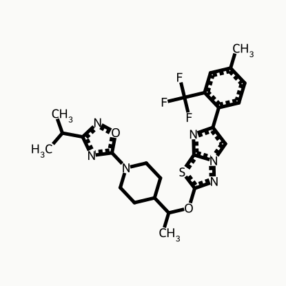 Cc1ccc(-c2cn3nc(OC(C)C4CCN(c5nc(C(C)C)no5)CC4)sc3n2)c(C(F)(F)F)c1